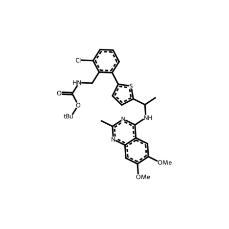 COc1cc2nc(C)nc(NC(C)c3ccc(-c4cccc(Cl)c4CNC(=O)OC(C)(C)C)s3)c2cc1OC